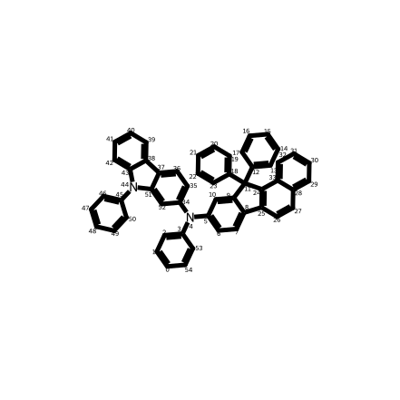 c1ccc(N(c2ccc3c(c2)C(c2ccccc2)(c2ccccc2)c2c-3ccc3ccccc23)c2ccc3c4ccccc4n(-c4ccccc4)c3c2)cc1